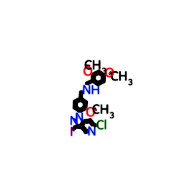 COc1ccc(CNCc2ccc(-n3nc(I)c4cnc(Cl)cc43)c(OC)c2)c(OC)c1